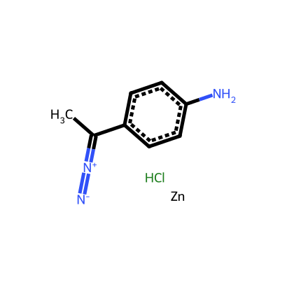 CC(=[N+]=[N-])c1ccc(N)cc1.Cl.[Zn]